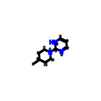 CC1CCN(C2N=CC=CN2)CC1